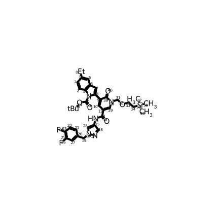 CCc1ccc2c(c1)cc(-c1cc(C(=O)Nc3cnn(Cc4ccc(F)c(F)c4)c3)cn(COCC[Si](C)(C)C)c1=O)n2C(=O)OC(C)(C)C